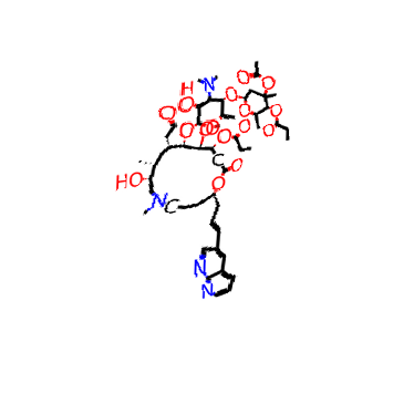 CCC(=O)O[C@@H]1CC(=O)O[C@@H](C/C=C/c2cnc3ncccc3c2)CCCN(C)C[C@H](O)[C@H](C)C[C@H](CC=O)[C@H](O[C@@H]2OC(C)[C@@H](O[C@H]3CC(C)(OC(C)=O)[C@@H](OC(=O)CC)C(C)O3)C(N(C)C)C2O)[C@H]1OC